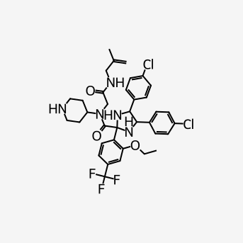 C=C(C)CNC(=O)CN(C(=O)C1(c2ccc(C(F)(F)F)cc2OCC)NC(c2ccc(Cl)cc2)C(c2ccc(Cl)cc2)N1)C1CCNCC1